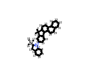 CC1(C)c2cc(N3c4ccccc4CC3[Si](C)(C)C)ccc2-c2c1ccc1c2ccc2ccccc21